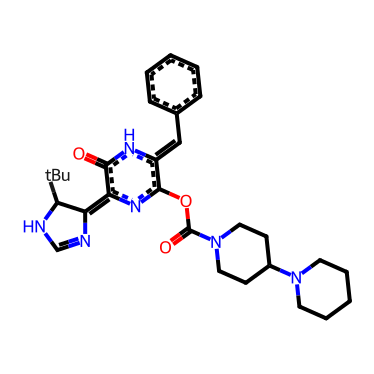 CC(C)(C)C1NC=N/C1=c1\nc(OC(=O)N2CCC(N3CCCCC3)CC2)/c(=C/c2ccccc2)[nH]c1=O